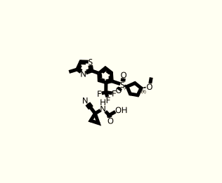 CO[C@@H]1CC[C@@H](S(=O)(=O)c2ccc(-c3nc(C)cs3)cc2C(F)(F)F)C1.N#CC1(NC(=O)O)CC1